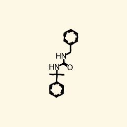 CC(C)(NC(=O)NCc1ccccc1)c1ccccc1